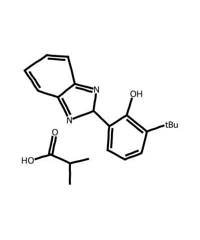 CC(C)(C)c1cccc(C2N=c3ccccc3=N2)c1O.CC(C)C(=O)O